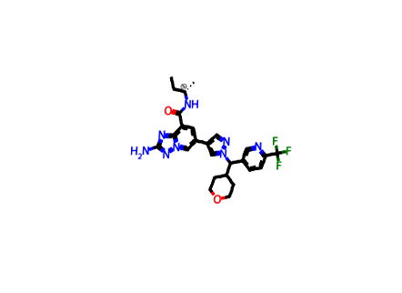 CC[C@H](C)NC(=O)c1cc(-c2cnn(C(c3ccc(C(F)(F)F)nc3)C3CCOCC3)c2)cn2nc(N)nc12